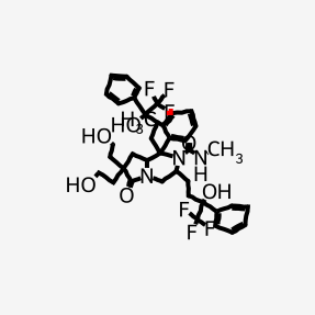 CNC(=O)N1C(CCC(O)(c2ccccc2)C(F)(F)F)CN2C(=O)C(CCO)(CCO)CC2C1(CCC(O)(c1ccccc1)C(F)(F)F)c1ccccc1C